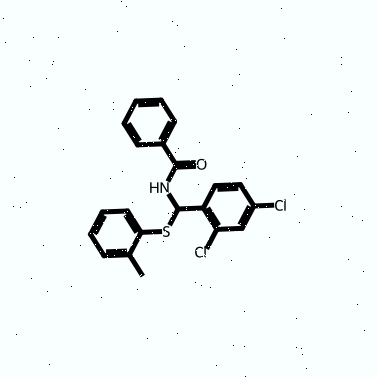 Cc1ccccc1SC(NC(=O)c1ccccc1)c1ccc(Cl)cc1Cl